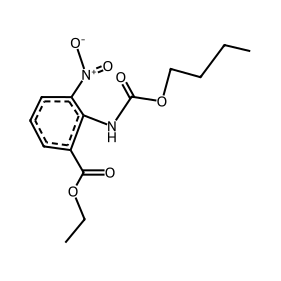 CCCCOC(=O)Nc1c(C(=O)OCC)cccc1[N+](=O)[O-]